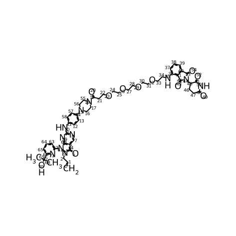 C=CCn1c(=O)c2cnc(Nc3ccc(N4CCN(C(=O)CCOCCOCCOCCOCCNc5cccc6c5C(=O)N(C5CCC(=O)NC5=O)C6=O)CC4)cc3)nc2n1-c1cccc(C(C)(C)O)n1